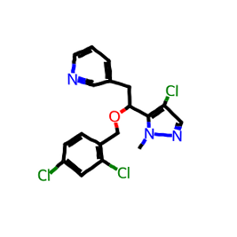 Cn1ncc(Cl)c1C(Cc1cccnc1)OCc1ccc(Cl)cc1Cl